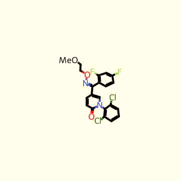 COCCON=C(c1ccc(=O)n(-c2c(Cl)cccc2Cl)c1)c1ccc(F)cc1F